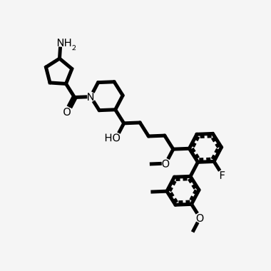 COc1cc(C)cc(-c2c(F)cccc2C(CCCC(O)C2CCCN(C(=O)C3CCC(N)C3)C2)OC)c1